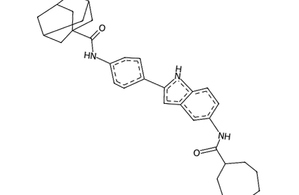 O=C(Nc1ccc2[nH]c(-c3ccc(NC(=O)C45CC6CC(CC(C6)C4)C5)cc3)cc2c1)C1CCCCCC1